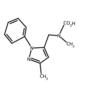 Cc1cc(CN(C)C(=O)O)n(-c2ccccc2)n1